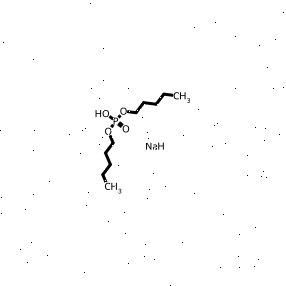 CCCCCOP(=O)(O)OCCCCC.[NaH]